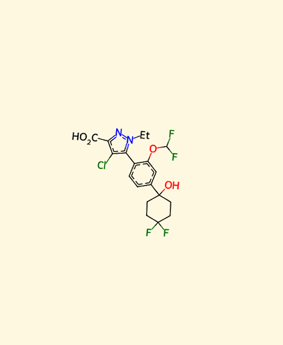 CCn1nc(C(=O)O)c(Cl)c1-c1ccc(C2(O)CCC(F)(F)CC2)cc1OC(F)F